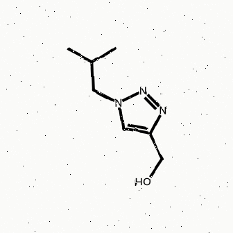 CC(C)Cn1cc(CO)nn1